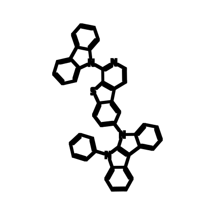 c1ccc(-n2c3ccccc3c3c4ccccc4n(-c4ccc5sc6c(-n7c8ccccc8c8ccccc87)nccc6c5c4)c32)cc1